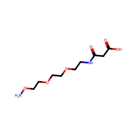 NOCCOCCOCCNC(=O)CC(=O)O